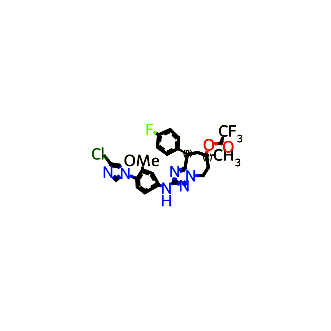 COc1cc(Nc2nc3n(n2)CC[C@](C)(OC(=O)C(F)(F)F)C[C@@H]3c2ccc(F)cc2)ccc1-n1cnc(Cl)c1